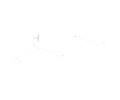 O=[SH]OCF